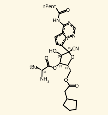 CCCCCC(=O)Nc1ncnn2c([C@]3(C#N)O[C@H](COC(=O)CC4CCCC4)[C@@H](OC(=O)[C@@H](N)C(C)(C)C)[C@H]3O)ccc12